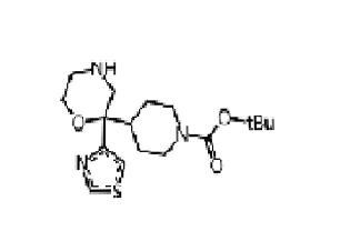 CC(C)(C)OC(=O)N1CCC(C2(c3cscn3)CNCCO2)CC1